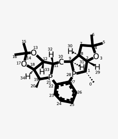 C[C@H]1[C@H]2OC(C)(C)C[C@@H]2[C@@H]2C[C@H]3[C@H]4OC(C)(C)O[C@@H]4[C@H](C)P3c3ccccc3P12